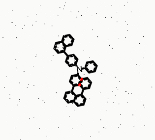 c1ccc(-c2cccc3cccc(-c4ccc(N(c5ccccc5)c5ccc(-c6cccc7ccccc67)cc5)cc4)c23)cc1